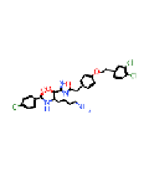 NCCCCC(NC(=O)c1ccc(Cl)cc1)C(=O)c1noc(Cc2ccc(OCCc3ccc(Cl)c(Cl)c3)cc2)n1